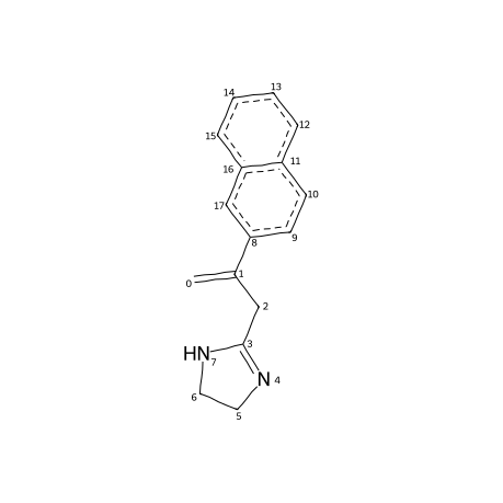 C=C(CC1=NCCN1)c1ccc2ccccc2c1